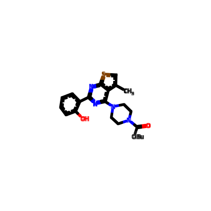 Cc1csc2nc(-c3ccccc3O)nc(N3CCN(C(=O)OCC(C)C)CC3)c12